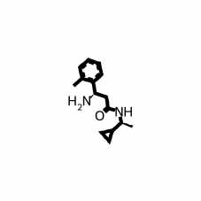 Cc1ccccc1[C@@H](N)CC(=O)N[C@@H](C)C1CC1